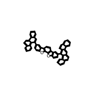 c1ccc2c(c1)ccc1c(-c3ccc4oc5c(ccc6c7cc(-c8cc9ccccc9c9ccc%10ccccc%10c89)ccc7oc65)c4c3)c3c(ccc4ccccc43)cc12